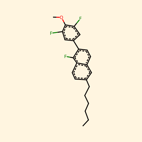 CCCCCCc1ccc2c(F)c(-c3cc(F)c(OC)c(F)c3)ccc2c1